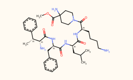 COC(=O)C1(N)CCN(C(=O)[C@@H](CCCCN)NC(=O)[C@@H](CC(C)C)NC(=O)[C@@H](Cc2ccccc2)NC(=O)[C@H](N)[C@H](C)c2ccccc2)CC1